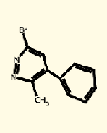 Cc1nnc(Br)cc1-c1ccccc1